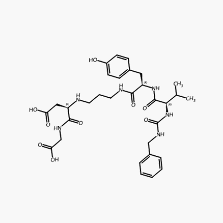 CC(C)[C@@H](NC(=O)NCc1ccccc1)C(=O)N[C@H](Cc1ccc(O)cc1)C(=O)NCCCN[C@H](CC(=O)O)C(=O)NCC(=O)O